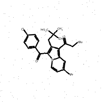 CC(C)c1ccn2c(C(=O)c3ccc(Cl)cc3)c(CC(C)(C)C(=O)O)c(C(=O)CC(C)(C)C)c2c1